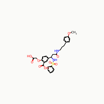 COc1ccc(CCCNC(=O)CC(NS(=O)(=O)c2ccccc2)c2ccc(OCC(=O)O)c(C(=O)O)c2)cc1